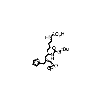 CC(C)(C)OC(=O)N[C@@H](CCCCNC(=O)O)CN(Cc1cccs1)C[SH](=O)=O